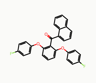 O=C(c1c(Oc2ccc(F)cc2)cccc1Oc1ccc(F)cc1)c1cccc2ccccc12